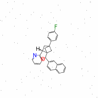 O=C(c1ccc2ccccc2c1)C12CC(c3ccc(F)cc3)(C[C@H]1c1ccccn1)C2